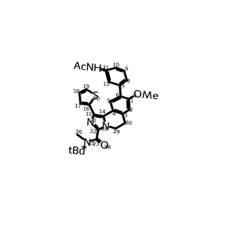 COc1cc2c(cc1-c1cccc(NC(C)=O)c1)-c1c(-c3cccs3)nc(C(=O)N(C)C(C)(C)C)n1CC2